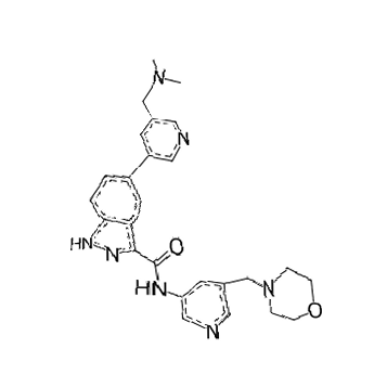 CN(C)Cc1cncc(-c2ccc3[nH]nc(C(=O)Nc4cncc(CN5CCOCC5)c4)c3c2)c1